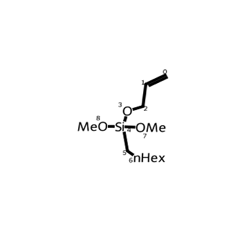 C=CCO[Si](CCCCCCC)(OC)OC